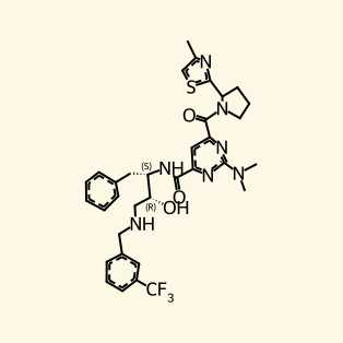 Cc1csc(C2CCCN2C(=O)c2cc(C(=O)N[C@@H](Cc3ccccc3)[C@H](O)CNCc3cccc(C(F)(F)F)c3)nc(N(C)C)n2)n1